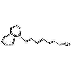 [CH]=CC=CC=CC=Cc1cccc2ccccc12